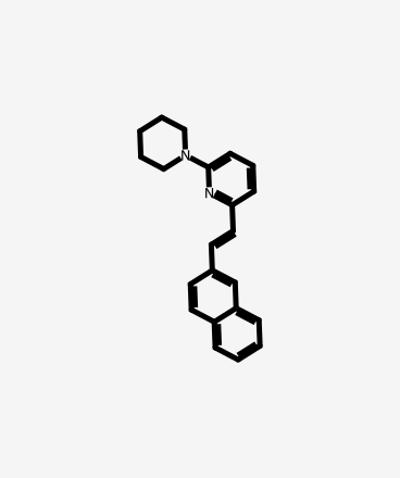 C(=Cc1cccc(N2CCCCC2)n1)c1ccc2ccccc2c1